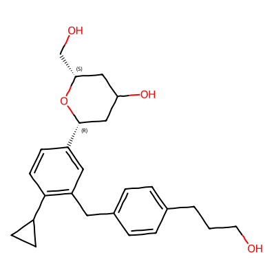 OCCCc1ccc(Cc2cc([C@H]3CC(O)C[C@@H](CO)O3)ccc2C2CC2)cc1